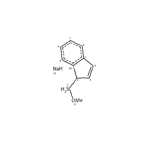 CO[SiH2]C1C=Cc2ccccc21.[NaH]